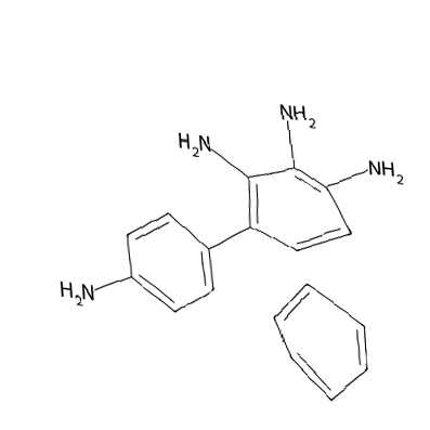 Nc1ccc(-c2ccc(N)c(N)c2N)cc1.c1ccccc1